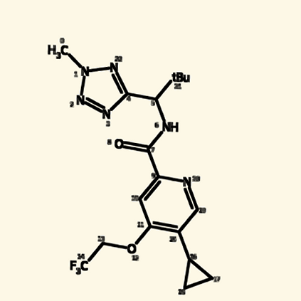 Cn1nnc(C(NC(=O)c2cc(OCC(F)(F)F)c(C3CC3)cn2)C(C)(C)C)n1